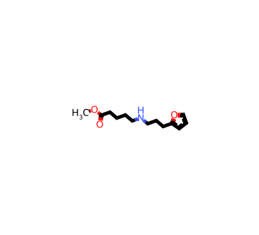 COC(=O)CCCCNCCCc1ccco1